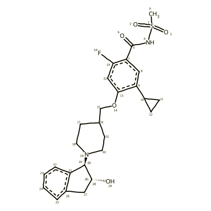 CS(=O)(=O)NC(=O)c1cc(C2CC2)c(OCC2CCN([C@@H]3c4ccccc4C[C@H]3O)CC2)cc1F